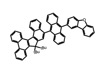 CC(C)(C)C1(C(C)(C)C)c2cc(-c3c4ccccc4c(-c4ccc5oc6ccccc6c5c4)c4ccccc34)c3ccccc3c2-c2c1c1ccccc1c1ccccc21